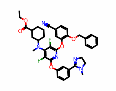 CCOC(=O)C1CCCC(N(C)c2c(F)c(Oc3cccc(C4=NCCN4C)c3)nc(Oc3cc(C#N)ccc3OCc3ccccc3)c2F)C1